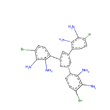 Nc1c(Br)ccc(-c2cc(-c3ccc(Br)c(N)c3N)cc(-c3ccc(Br)c(N)c3N)c2)c1N